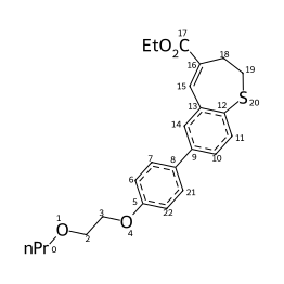 CCCOCCOc1ccc(-c2ccc3c(c2)C=C(C(=O)OCC)CCS3)cc1